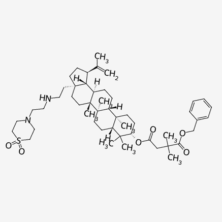 C=C(C)[C@@H]1CC[C@]2(CCNCCN3CCS(=O)(=O)CC3)CC[C@]3(C)[C@H](CC[C@@H]4[C@@]5(C)CC[C@H](OC(=O)CC(C)(C)C(=O)OCc6ccccc6)C(C)(C)[C@@H]5CC[C@]43C)[C@@H]12